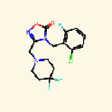 O=c1onc(CN2CCC(F)(F)CC2)n1Cc1c(F)cccc1Cl